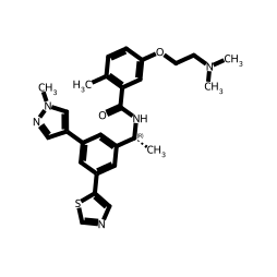 Cc1ccc(OCCN(C)C)cc1C(=O)N[C@H](C)c1cc(-c2cnn(C)c2)cc(-c2cncs2)c1